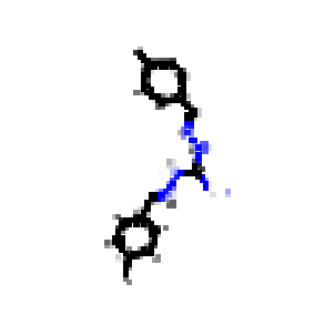 Cc1ccc(/C=N/NC(N)N/N=C/c2ccc(C)cc2)cc1